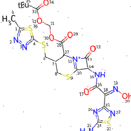 Cc1nnc(SCC2CSC3=[N+](C(=O)C3NC(=O)C(=NO)c3nsc(N)n3)C2C(=O)OCOC(=O)C(C)(C)C)s1